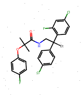 CCC(CNC(=O)C(C)(C)Oc1ccc(F)cc1)(c1ccc(Cl)cc1)c1ccc(Cl)cc1F